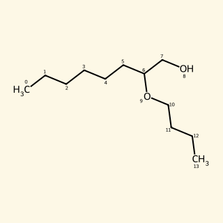 CCCCCCC(CO)OCCCC